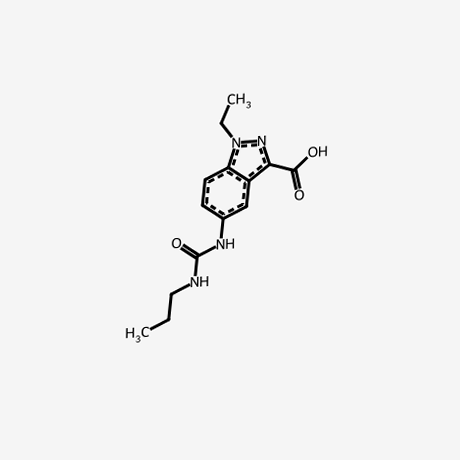 CCCNC(=O)Nc1ccc2c(c1)c(C(=O)O)nn2CC